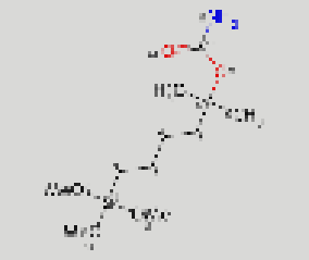 CO[Si](CCCCC(C)(C)OC(N)=O)(OC)OC